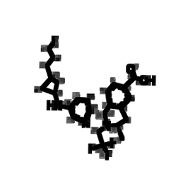 C[C@@H]1Cc2cc(C(=O)O)ccc2[C@@H](c2ccc(NC3CC(CCCF)C3)cn2)N1CC(F)(F)F